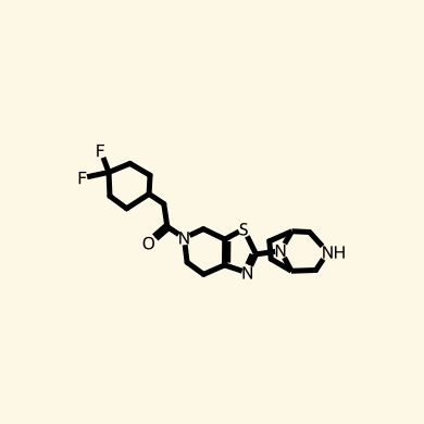 O=C(CC1CCC(F)(F)CC1)N1CCc2nc(N3C4CCC3CNC4)sc2C1